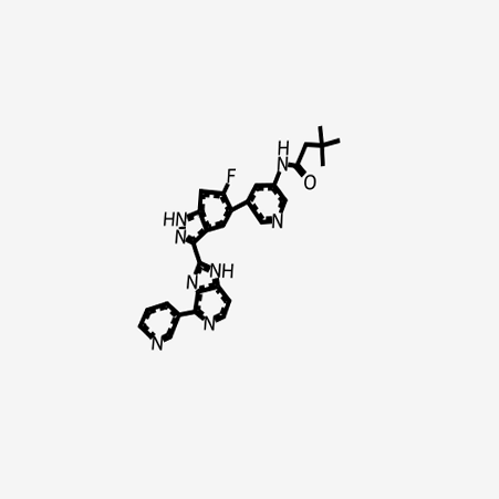 CC(C)(C)CC(=O)Nc1cncc(-c2cc3c(-c4nc5c(-c6cccnc6)nccc5[nH]4)n[nH]c3cc2F)c1